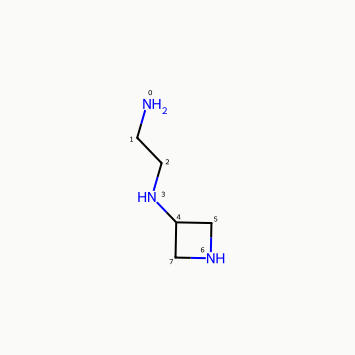 NCCNC1CNC1